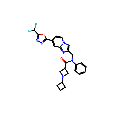 O=C(C1CN(C2CCC2)C1)N(Cc1cn2ccc(-c3nnc(C(F)F)o3)cc2n1)c1ccccc1